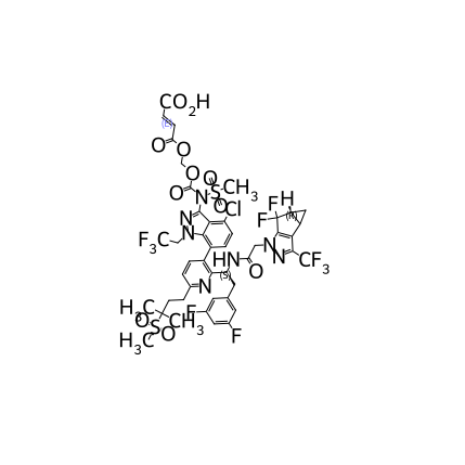 CC(C)(CCc1ccc(-c2ccc(Cl)c3c(N(C(=O)OCOC(=O)/C=C/C(=O)O)S(C)(=O)=O)nn(CC(F)(F)F)c23)c([C@H](Cc2cc(F)cc(F)c2)NC(=O)Cn2nc(C(F)(F)F)c3c2C(F)(F)[C@@H]2CC32)n1)S(C)(=O)=O